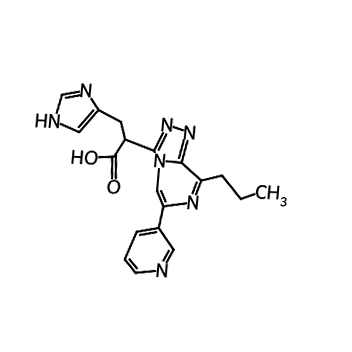 CCCc1nc(-c2cccnc2)cn2c(C(Cc3c[nH]cn3)C(=O)O)nnc12